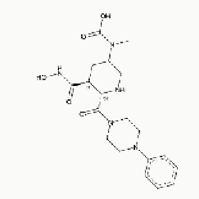 CN(C(=O)O)C1CN[C@H](C(=O)N2CCN(c3ccccc3)CC2)[C@@H](C(=O)NO)C1